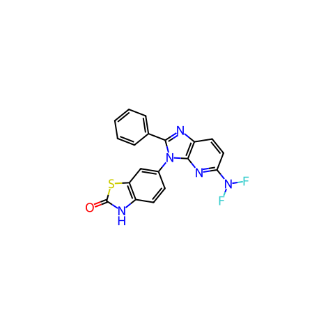 O=c1[nH]c2ccc(-n3c(-c4ccccc4)nc4ccc(N(F)F)nc43)cc2s1